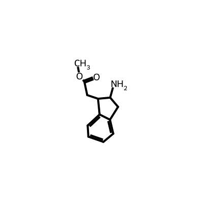 COC(=O)CC1c2ccccc2CC1N